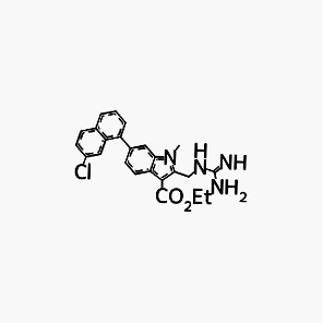 CCOC(=O)c1c(CNC(=N)N)n(C)c2cc(-c3cccc4ccc(Cl)cc34)ccc12